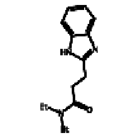 CCN(CC)C(=O)CCc1nc2ccccc2[nH]1